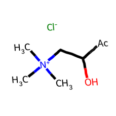 CC(=O)C(O)C[N+](C)(C)C.[Cl-]